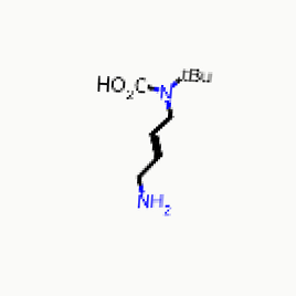 CC(C)(C)N(CC=CCN)C(=O)O